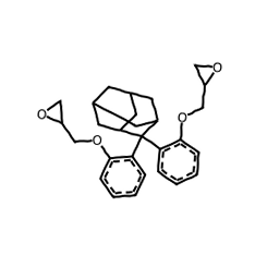 c1ccc(C2(c3ccccc3OCC3CO3)C3CC4CC(C3)CC2C4)c(OCC2CO2)c1